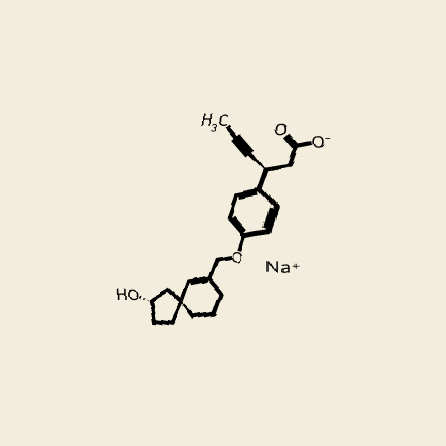 CC#C[C@@H](CC(=O)[O-])c1ccc(OCC2=C[C@]3(CCC2)CC[C@H](O)C3)cc1.[Na+]